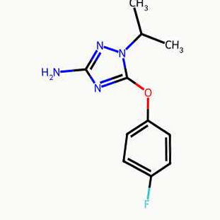 CC(C)n1nc(N)nc1Oc1ccc(F)cc1